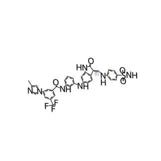 CNS(=O)(=O)c1ccc(N/C=C2/C(=O)Nc3cc(Nc4cccc(NC(=O)c5cc(-n6cnc(C)c6)cc(C(F)(F)F)c5)c4)ccc32)cc1